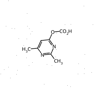 Cc1cc(OC(=O)O)nc(C)n1